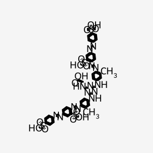 Cc1cc(Nc2nc(NCC(=O)O)nc(Nc3ccc(N=Nc4ccc(N=Nc5ccc(S(=O)(=O)O)cc5)cc4S(=O)(=O)O)c(C)c3)n2)ccc1N=Nc1ccc(N=Nc2ccc(S(=O)(=O)O)cc2)cc1S(=O)(=O)O